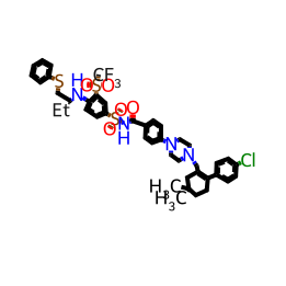 CC[C@H](CSc1ccccc1)Nc1ccc(S(=O)(=O)NC(=O)c2ccc(N3CCN(CC4=C(c5ccc(Cl)cc5)CCC(C)(C)C4)CC3)cc2)cc1S(=O)(=O)C(F)(F)F